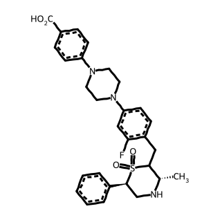 C[C@@H]1NC[C@@H](c2ccccc2)S(=O)(=O)C1Cc1ccc(N2CCN(c3ccc(C(=O)O)cc3)CC2)cc1F